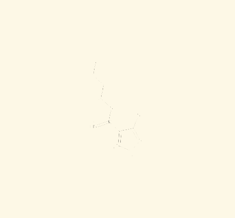 CSCCNC(=N)c1nonc1N